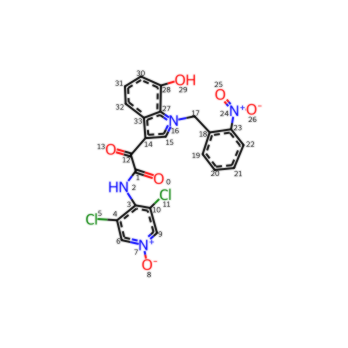 O=C(Nc1c(Cl)c[n+]([O-])cc1Cl)C(=O)c1cn(Cc2ccccc2[N+](=O)[O-])c2c(O)cccc12